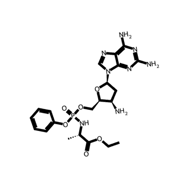 CCOC(=O)[C@H](C)NP(=O)(OC[C@H]1O[C@@H](n2cnc3c(N)nc(N)nc32)C[C@H]1N)Oc1ccccc1